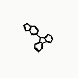 [c]1ccc2c(c1)-c1ccccc1C2c1ccc2c(c1)C=CC2